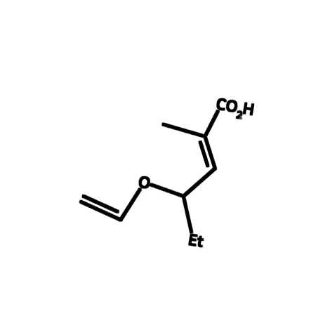 C=COC(C=C(C)C(=O)O)CC